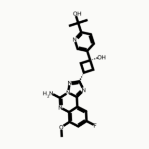 COc1cc(F)cc2c1nc(N)n1nc([C@H]3C[C@](O)(c4ccc(C(C)(C)O)nc4)C3)nc21